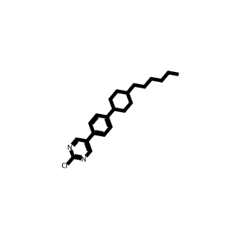 CCCCCCC1CCC(c2ccc(-c3cnc(Cl)nc3)cc2)CC1